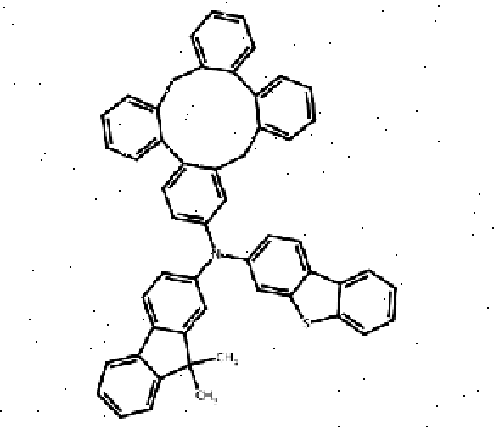 CC1(C)c2ccccc2-c2ccc(N(c3ccc4c(c3)Cc3ccccc3-c3ccccc3Cc3ccccc3-4)c3ccc4c(c3)sc3ccccc34)cc21